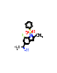 CC(=N)c1cc(F)c2c(c1)cc(C)n2S(=O)(=O)c1ccccc1